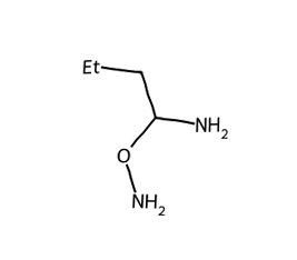 CCCC(N)ON